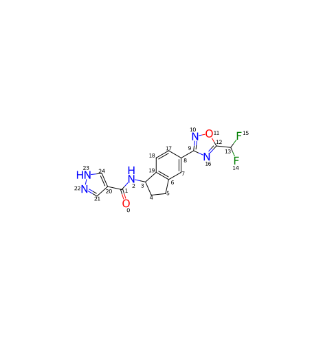 O=C(NC1CCc2cc(-c3noc(C(F)F)n3)ccc21)c1cn[nH]c1